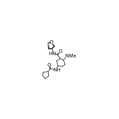 CNC1CCC(NC(=O)C2CCCC2)CC1C(=O)Nc1ccoc1